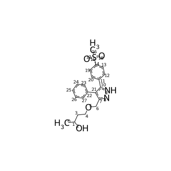 CC(O)CCOCc1n[nH]c(-c2ccc(S(C)(=O)=O)cc2)c1-c1ccccc1